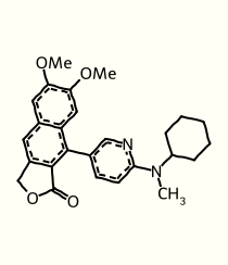 COc1cc2cc3c(c(-c4ccc(N(C)C5CCCCC5)nc4)c2cc1OC)C(=O)OC3